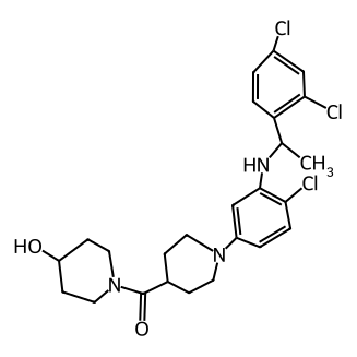 CC(Nc1cc(N2CCC(C(=O)N3CCC(O)CC3)CC2)ccc1Cl)c1ccc(Cl)cc1Cl